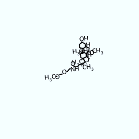 COCCOCCNC(=O)CC[C@@H](C)[C@H]1CC[C@H]2[C@@H]3[C@H](OC)C[C@@H]4C[C@H](O)CC[C@]4(C)[C@H]3CC[C@]12C